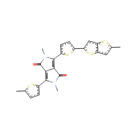 Cc1ccc(C2=C3C(=O)N(C)C(c4ccc(-c5cc6sc(C)cc6s5)s4)=C3C(=O)N2C)s1